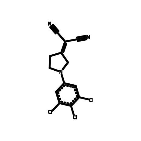 N#CC(C#N)=C1CCN(c2cc(Cl)c(Cl)c(Cl)c2)C1